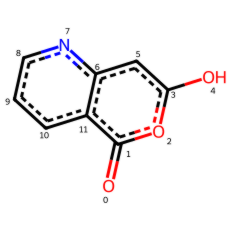 O=c1oc(O)cc2ncccc12